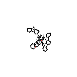 c1ccc(-c2cccc(-n3c4ccccc4c4ccc5c6ccccc6n(-c6nc(-c7ccccc7)nc(-c7ccc8sc9ccccc9c8c7)n6)c5c43)c2)cc1